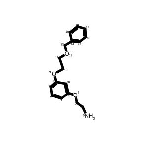 NCCOc1cccc(OCCOCc2ccccc2)c1